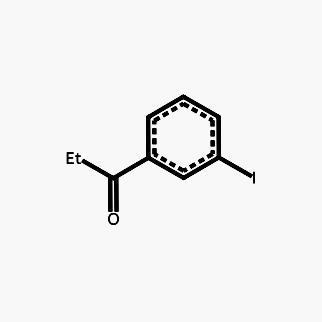 CCC(=O)c1cccc(I)c1